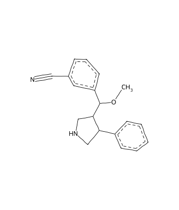 COC(c1cccc(C#N)c1)C1CNCC1c1ccccc1